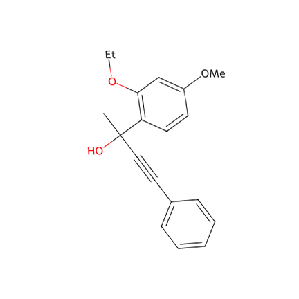 CCOc1cc(OC)ccc1C(C)(O)C#Cc1ccccc1